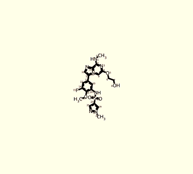 CNc1nc(OCCO)cn2c(-c3cc(F)c(OC)c(NS(=O)(=O)c4cnn(C)c4)c3)cnc12